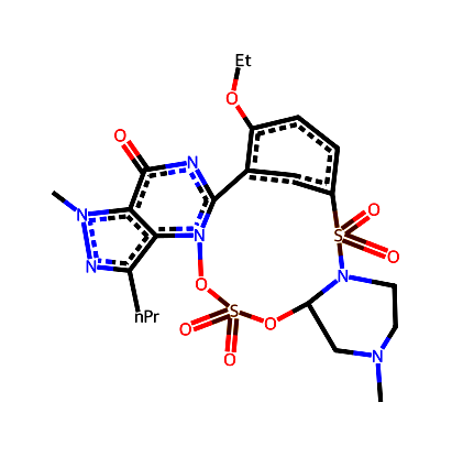 CCCc1nn(C)c2c(=O)nc3n(c12)OS(=O)(=O)OC1CN(C)CCN1S(=O)(=O)c1ccc(OCC)c-3c1